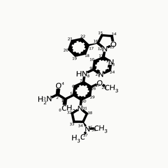 C=C(C(N)=O)c1cc(Nc2cc(N3OCC[C@@H]3c3ccccc3)ncn2)c(OC)cc1N1CC[C@H](N(C)C)C1